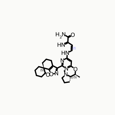 C[C@H](Oc1cc(N/C=C\C(=N)C(N)=O)nc(-c2noc3c2CCC[C@@]32CCCCC2=O)n1)[C@@H]1CCCN1C